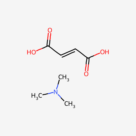 CN(C)C.O=C(O)C=CC(=O)O